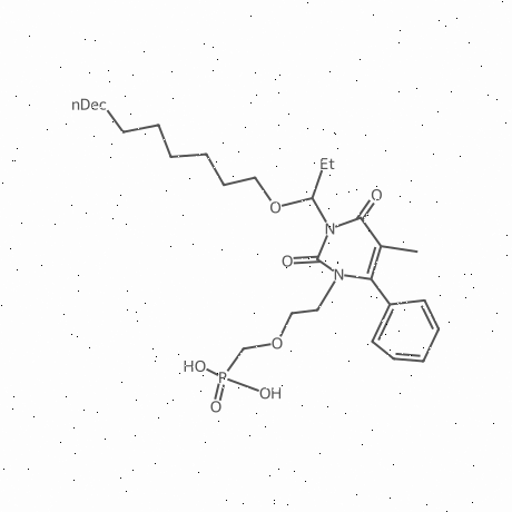 CCCCCCCCCCCCCCCCOC(CC)n1c(=O)c(C)c(-c2ccccc2)n(CCOCP(=O)(O)O)c1=O